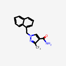 NC(=O)c1cn(Cc2cccc3ccccc23)nc1C(F)(F)F